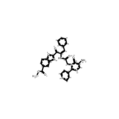 COC(=O)c1ccc2oc(C(=O)C(=Cc3ccccc3)NC(=O)Cn3c(-c4ccncc4)ncc(N)c3=O)nc2c1